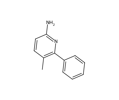 Cc1ccc(N)nc1-c1ccccc1